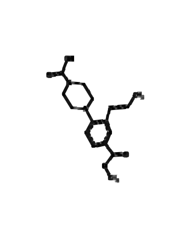 CC=Cc1cc(C(=O)OC)ccc1N1CCN(C(=O)O)CC1